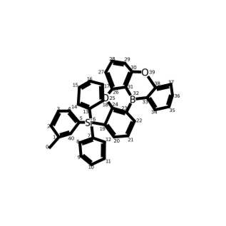 Cc1cccc([Si](c2ccccc2)(c2ccccc2)c2cccc3c2Oc2cccc4c2B3c2ccccc2O4)c1